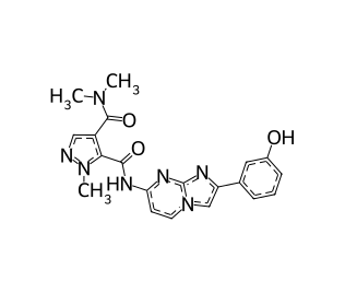 CN(C)C(=O)c1cnn(C)c1C(=O)Nc1ccn2cc(-c3cccc(O)c3)nc2n1